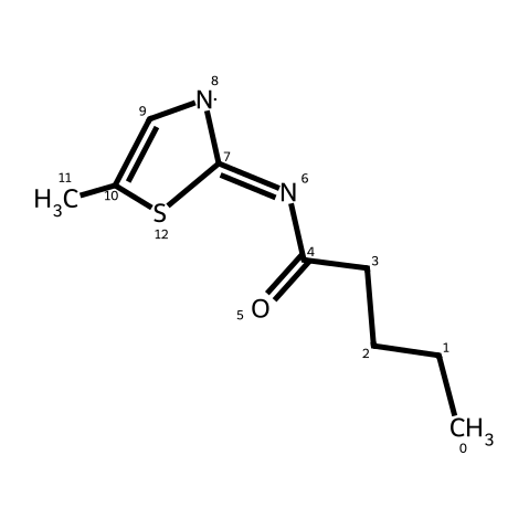 CCCCC(=O)N=C1[N]C=C(C)S1